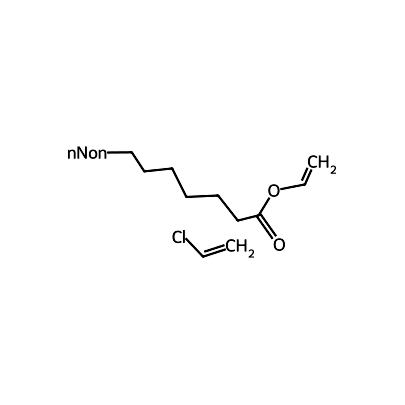 C=CCl.C=COC(=O)CCCCCCCCCCCCCCC